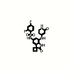 O=C1C=C(Nc2cc(NS(=O)(=O)c3ccc(F)cc3F)cc3c2NC(=O)C32CCC2)CCN1